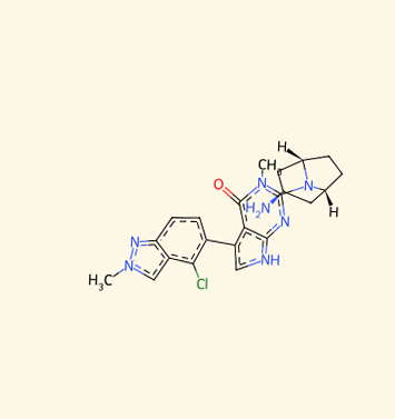 Cn1cc2c(Cl)c(-c3c[nH]c4nc(N5[C@@H]6CC[C@H]5C[C@H](N)C6)n(C)c(=O)c34)ccc2n1